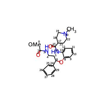 COC(=O)NCCC(Oc1ccccc1NC(=O)C1CCN(C)CC1)c1ccccc1